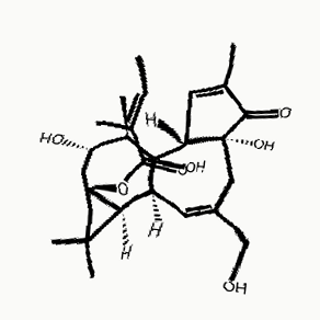 C/C=C(\C)C(=O)O[C@@]12[C@H](O)[C@@H](C)[C@@]3(O)[C@@H](C=C(CO)C[C@]4(O)C(=O)C(C)=C[C@@H]34)[C@H]1C2(C)C